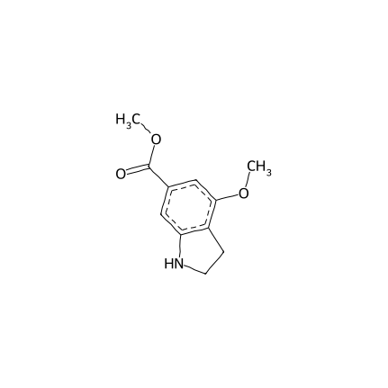 COC(=O)c1cc2c(c(OC)c1)CCN2